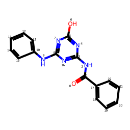 O=C(Nc1nc(O)nc(Nc2ccccc2)n1)c1ccccc1